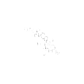 CC(=O)OCC(=O)Nc1ccc2cc(C(=O)Nc3ccc(Br)cc3-c3noc(=O)[nH]3)n(C)c2c1